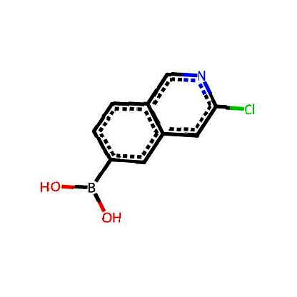 OB(O)c1ccc2cnc(Cl)cc2c1